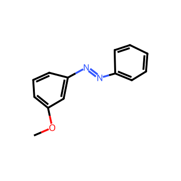 COc1cccc(/N=N/c2ccccc2)c1